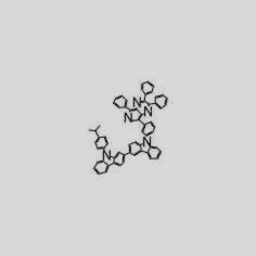 CC(C)c1ccc(-n2c3ccccc3c3ccc(-c4ccc5c(c4)c4ccccc4n5-c4cccc(-c5cnc(-c6ccccc6)c6nc(-c7ccccc7)c(-c7ccccc7)nc56)c4)cc32)cc1